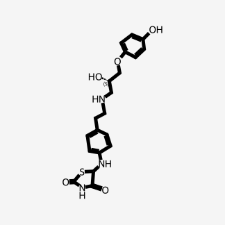 O=C1NC(=O)C(Nc2ccc(CCNC[C@H](O)COc3ccc(O)cc3)cc2)S1